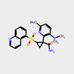 CC(C)COc1ccc(N(C)C)c(C2(C(N)=O)CC2S(=O)(=O)c2cccc3ncccc23)n1